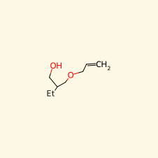 C=CCOCC(CC)CO